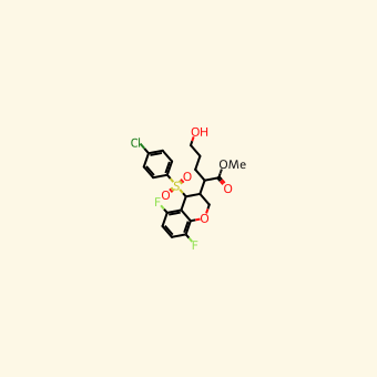 COC(=O)C(CCCO)C1COc2c(F)ccc(F)c2C1S(=O)(=O)c1ccc(Cl)cc1